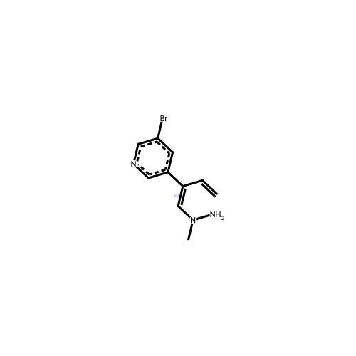 C=C/C(=C\N(C)N)c1cncc(Br)c1